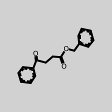 O=C(CCC(=O)c1ccccc1)OCc1ccccc1